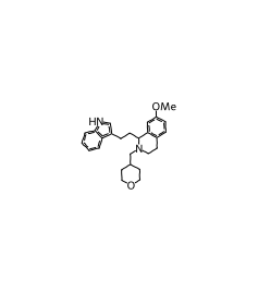 COc1ccc2c(c1)C(CCc1c[nH]c3ccccc13)N(CC1CCOCC1)CC2